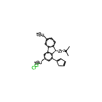 C[C](C)=[Zr+2][CH]1c2ccc(C(C)(C)C)cc2-c2cc(C(C)(C)C)cc(C3=CC=CC3)c21.[Cl-].[Cl-]